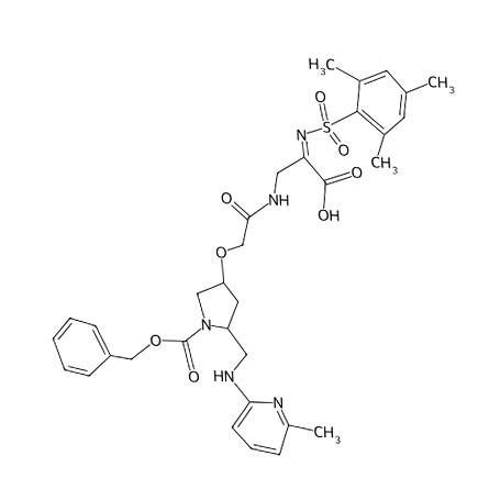 Cc1cc(C)c(S(=O)(=O)/N=C(/CNC(=O)COC2CC(CNc3cccc(C)n3)N(C(=O)OCc3ccccc3)C2)C(=O)O)c(C)c1